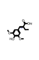 CC/C(=C\c1cc(OC)c(O)c(OC)c1)C(=O)O